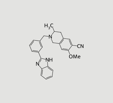 COc1cc2c(cc1C#N)CC(C)N(Cc1cccc(-c3nc4ccccc4[nH]3)c1)C2